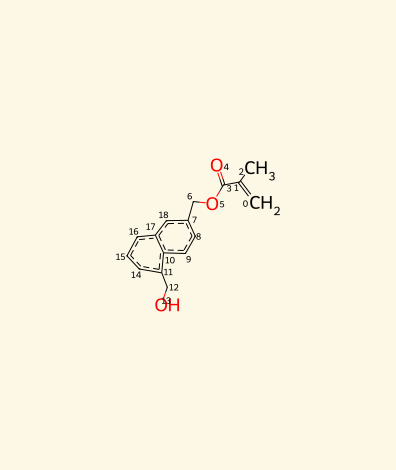 C=C(C)C(=O)OCc1ccc2c(CO)cccc2c1